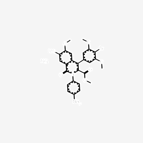 COC(=O)c1c(-c2cc(OC)c(Br)c(OC)c2)c2cc(OC)c(O)cc2c(=O)n1-c1ccc(N)cc1.Cl